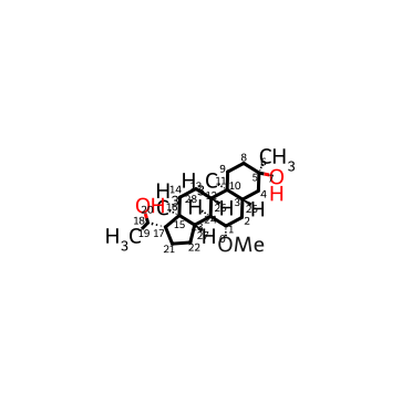 CO[C@H]1C[C@H]2C[C@](C)(O)CC[C@]2(C)[C@H]2CC[C@]3(C)[C@@H](C(C)O)CC[C@H]3[C@H]12